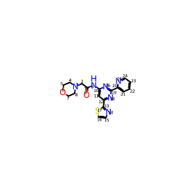 O=C(CN1CCOCC1)Nc1cc(-c2nccs2)nc(-c2ccccn2)n1